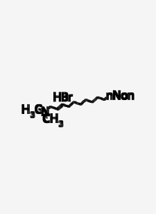 Br.CCCCCCCCCCCCCCCCC=CCN(C)C